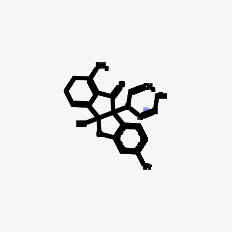 C=CN(/N=N\CCCC)C12C(=O)C3=C(N)CCC=C3C1(O)Oc1cc(C(C)C)ccc12